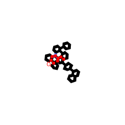 c1ccc(-c2ccccc2-c2c(-c3ccccc3)cccc2N(c2ccc(-c3ccc(-c4cccc5ccccc45)cc3)cc2)c2cccc3oc4ccccc4c23)cc1